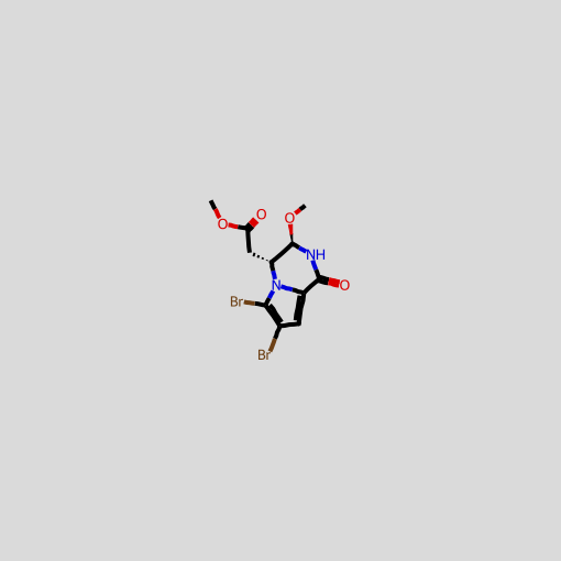 COC(=O)C[C@@H]1[C@@H](OC)NC(=O)c2cc(Br)c(Br)n21